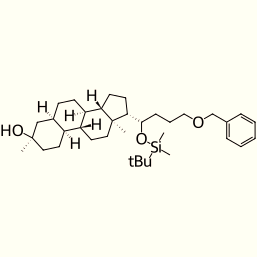 CC(C)(C)[Si](C)(C)OC(CCCOCc1ccccc1)[C@H]1CC[C@H]2[C@@H]3CC[C@@H]4C[C@](C)(O)CC[C@@H]4[C@H]3CC[C@]12C